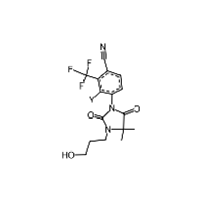 CC1(C)C(=O)N(c2ccc(C#N)c(C(F)(F)F)[c]2[Y])C(=O)N1CCCO